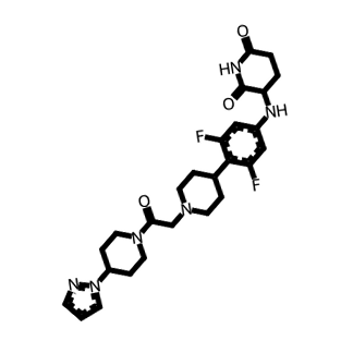 O=C1CCC(Nc2cc(F)c(C3CCN(CC(=O)N4CCC(n5cccn5)CC4)CC3)c(F)c2)C(=O)N1